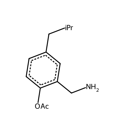 CC(=O)Oc1ccc(CC(C)C)cc1CN